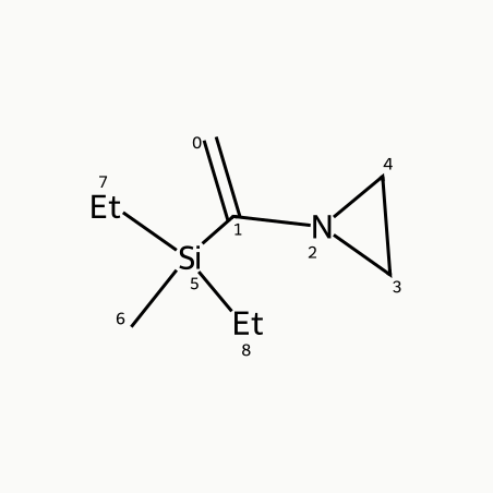 C=C(N1CC1)[Si](C)(CC)CC